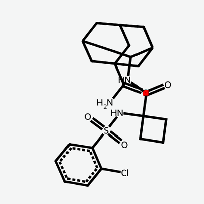 NC(=O)C12CC3CC(C1)C(NC(=O)C1(NS(=O)(=O)c4ccccc4Cl)CCC1)C(C3)C2